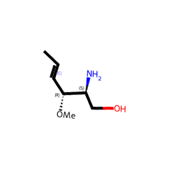 C/C=C/[C@@H](OC)[C@@H](N)CO